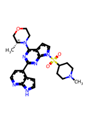 C[C@@H]1COCCN1c1nc(-c2ccnc3[nH]ccc23)nc2c1ccn2S(=O)(=O)C1CCN(C)CC1